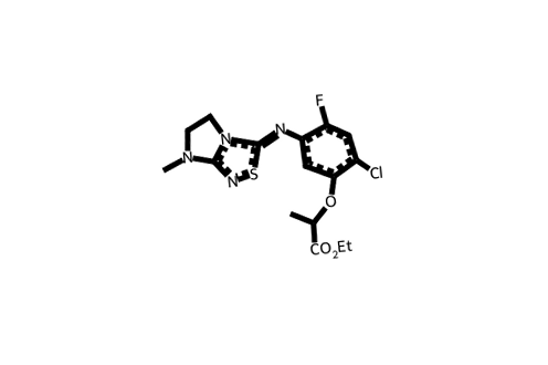 CCOC(=O)C(C)Oc1cc(N=c2snc3n2CCN3C)c(F)cc1Cl